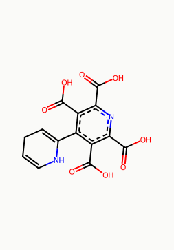 O=C(O)c1nc(C(=O)O)c(C(=O)O)c(C2=CCC=CN2)c1C(=O)O